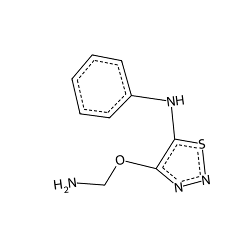 NCOc1nnsc1Nc1ccccc1